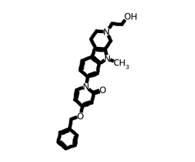 Cn1c2c(c3ccc(-n4ccc(OCc5ccccc5)cc4=O)cc31)CCN(CCO)C2